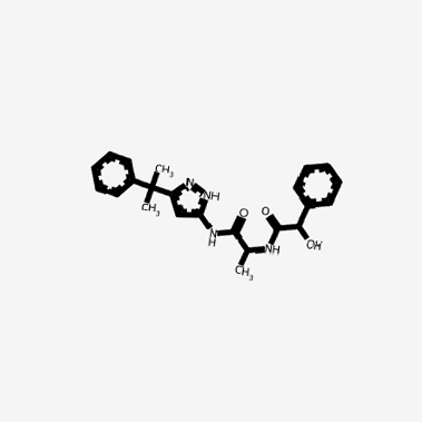 CC(NC(=O)C(O)c1ccccc1)C(=O)Nc1cc(C(C)(C)c2ccccc2)n[nH]1